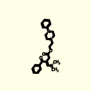 CN(C)C=C(CC(=O)OCCN1CCN(c2ccccc2)CC1)C(=O)c1ccccc1